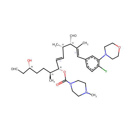 C/C(=C\c1ccc(F)c(N2CCOCC2)c1)[C@@H](C=O)[C@@H](C)/C=C/[C@H](OC(=O)N1CCN(C)CC1)[C@@H](C)CC[C@@H](O)CC=O